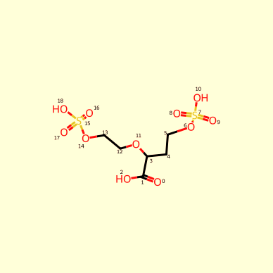 O=C(O)C(CCOS(=O)(=O)O)OCCOS(=O)(=O)O